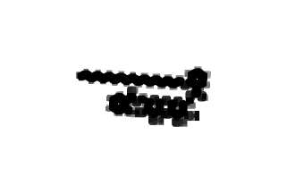 CCCCCCCCCCCCCCCCCCOc1ccccc1C(=O)OC[C@H]1O[C@H](O[C@H]2O[C@H](COC(=O)c3ccccc3C)[C@@H](O)[C@H](O)[C@H]2O)[C@H](O)[C@@H](O)[C@@H]1O